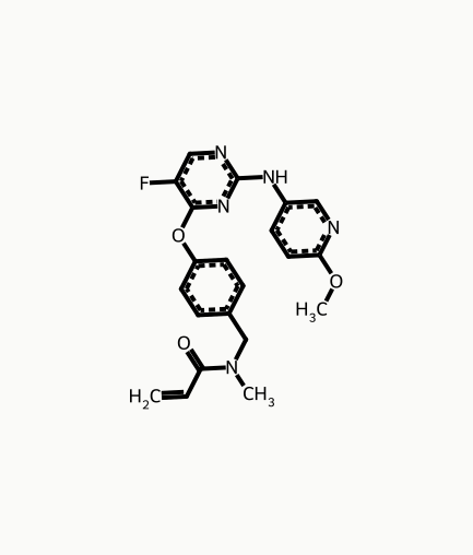 C=CC(=O)N(C)Cc1ccc(Oc2nc(Nc3ccc(OC)nc3)ncc2F)cc1